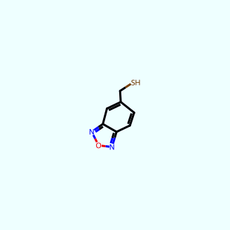 SCc1ccc2nonc2c1